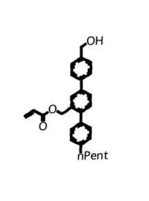 C=CC(=O)OCc1cc(-c2ccc(CO)cc2)ccc1-c1ccc(CCCCC)cc1